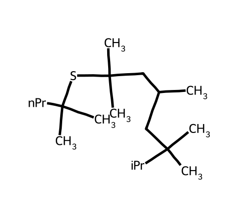 CCCC(C)(C)SC(C)(C)CC(C)CC(C)(C)C(C)C